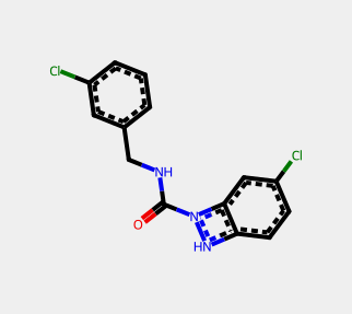 O=C(NCc1cccc(Cl)c1)n1[nH]c2ccc(Cl)cc21